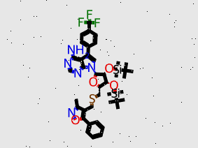 Cc1noc(-c2ccccc2)c1CSC[C@H]1O[C@@H](n2cc(-c3ccc(C(F)(F)F)cc3)c3c(N)ncnc32)[C@H](O[Si](C)(C)C(C)(C)C)[C@@H]1O[Si](C)(C)C(C)(C)C